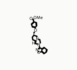 COC(=O)c1ccc(OC[C@@H]2CC[C@H]3CN(c4noc5ccccc45)CCN3C2)cc1